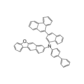 c1ccc(-c2ccc(N(c3ccc4cc5c(cc4c3)oc3ccccc35)c3cc(-c4cc5ccccc5c5ccccc45)cc4ccccc34)cc2)cc1